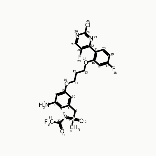 CS(=O)(Cc1cc(N)cc(OCCCOc2cc(F)ccc2-c2nc(Cl)ncc2F)c1)=NC(=O)C(F)(F)F